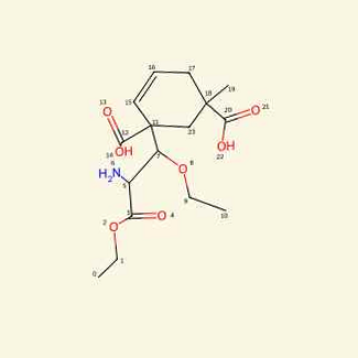 CCOC(=O)C(N)C(OCC)C1(C(=O)O)C=CCC(C)(C(=O)O)C1